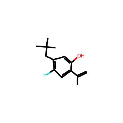 C=C(C)c1cc(F)c(CC(C)(C)C)cc1O